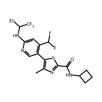 CCC(Nc1cc(C(F)F)c(-c2sc(C(=O)NC3CCC3)nc2C)cn1)C(F)(F)F